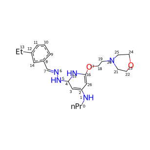 CCCNC1=CC(N/N=C/c2cccc(CC)c2)NC(OCCN2CCOCC2)=C1